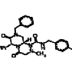 CC(C)[C@H]1C(=O)N(Cc2ccccc2)C[C@H]2N1C(=O)CN(C)N2C(=O)NCc1ccc(F)cc1